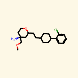 COCC1(N)CCOC(CCC2CCC(c3ccccc3Cl)CC2)C1